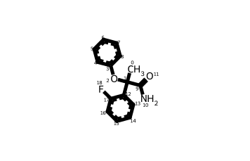 CC(Oc1ccccc1)(C(N)=O)c1ccccc1F